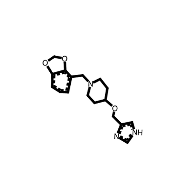 c1cc(CN2CCC(OCc3c[nH]cn3)CC2)c2c(c1)OCO2